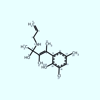 C=CCNC(C)(O)/C(C)=C(\C)c1cc(C)cc(Cl)c1O